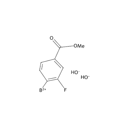 [B+2]c1ccc(C(=O)OC)cc1F.[OH-].[OH-]